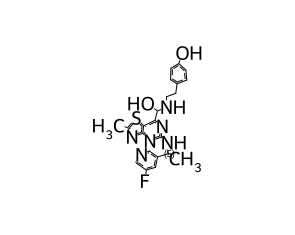 Cc1nc2nc(N[C@@H](C)c3cncc(F)c3)nc(C(O)NCCc3ccc(O)cc3)c2s1